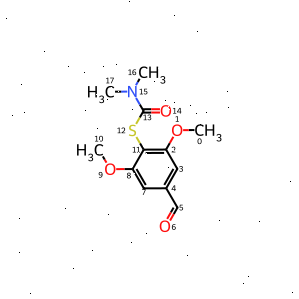 COc1cc(C=O)cc(OC)c1SC(=O)N(C)C